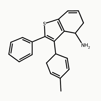 CC1=CCC(c2c(-c3ccccc3)sc3c2C(N)CC=C3)C=C1